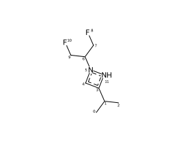 CC(C)c1cn(C(CF)CF)[nH]1